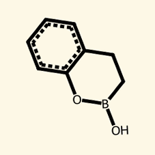 OB1CCc2ccccc2O1